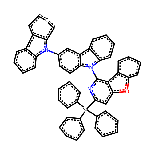 c1ccc([Si](c2ccccc2)(c2ccccc2)c2cc3oc4ccccc4c3c(-n3c4ccccc4c4cc(-n5c6ccccc6c6ccccc65)ccc43)n2)cc1